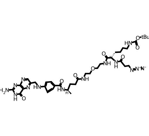 C[C@H](CCC(=O)NCCOCCNC(=O)[C@H](CCCCNC(=O)OC(C)(C)C)NC(=O)CCN=[N+]=[N-])NC(=O)c1ccc(NCc2cnc3nc(N)[nH]c(=O)c3n2)cc1